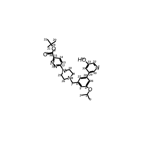 CC(C)Oc1cc(CN2CCN(c3ccc(C(=O)OC(C)(C)C)nn3)CC2)cc(-c2cncc(O)c2)c1